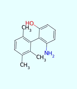 Cc1ccc(C)c(-c2c(N)cccc2O)c1C